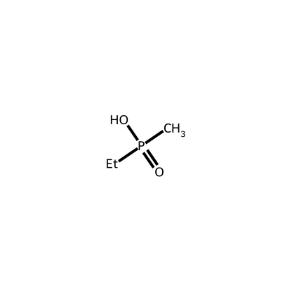 CCP(C)(=O)O